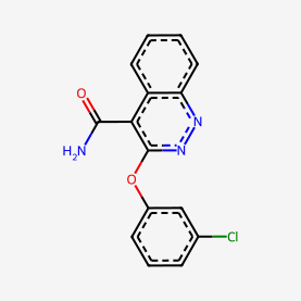 NC(=O)c1c(Oc2cccc(Cl)c2)nnc2ccccc12